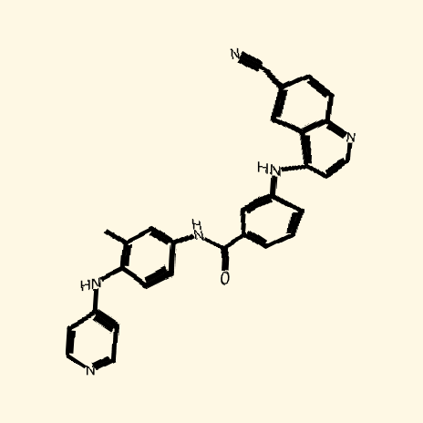 Cc1cc(NC(=O)c2cccc(Nc3ccnc4ccc(C#N)cc34)c2)ccc1Nc1ccncc1